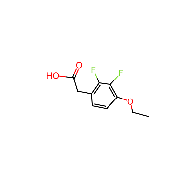 CCOc1ccc(CC(=O)O)c(F)c1F